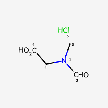 CN(C=O)CC(=O)O.Cl